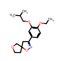 CCOc1ccc(C2=NOC3(CCOC3)C2)cc1OCC(C)C